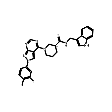 Cc1ccc(-n2cc3c(N4CCC[C@H](C(=O)NCc5c[nH]c6ccccc56)C4)ncnc3n2)cc1F